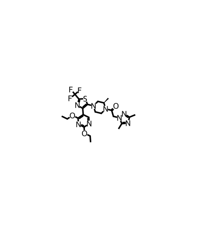 CCOc1ncc(-c2nc(C(F)(F)F)sc2N2CCN(C(=O)Cn3nc(C)nc3C)[C@H](C)C2)c(OCC)n1